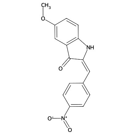 COc1ccc2c(c1)C(=O)C(=Cc1ccc([N+](=O)[O-])cc1)N2